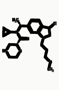 COCCCN1CC(Cl)c2ccc([C@@H](C)N(C(=O)[C@H]3CNCCO3)C3CC3)cc21